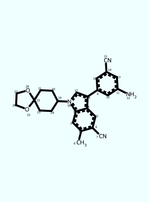 Cc1cc2c(cc1C#N)c(-c1cc(N)cc(C#N)c1)cn2C1CCC2(CC1)OCCO2